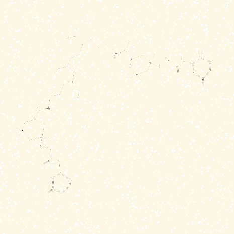 CCC(CCOC(=O)N(C)C1CC(C)(C)CC(C)(CNC(=O)Nc2nc(=O)cc(C)[nH]2)C1)CCC(CC)CC(CC)CCOC(=O)NC1CC(C)(C)CC(C)(CNC(=O)Nc2nc(=O)cc[nH]2)C1